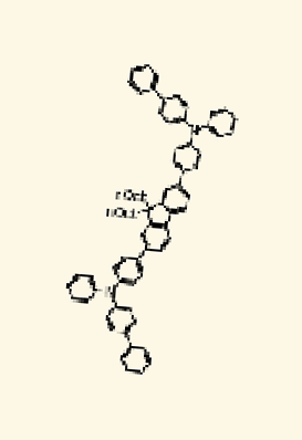 CCCCCCCCC1(CCCCCCCC)c2cc(-c3ccc(N(c4ccccc4)c4ccc(-c5ccccc5)cc4)cc3)ccc2-c2ccc(-c3ccc(N(c4ccccc4)c4ccc(-c5ccccc5)cc4)cc3)cc21